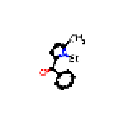 CCn1c(C)ccc1C(=O)c1ccccc1